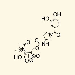 C[C@@H]1CC(=O)N1[C@@H](C(=O)O)[C@H](COC(=O)NC1CCN(C(=O)c2ccc(O)c(O)c2)C1)[SH](=O)=O